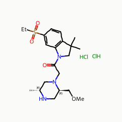 CCS(=O)(=O)c1ccc2c(c1)N(C(=O)CN1C[C@@H](C)NC[C@@H]1COC)CC2(C)C.Cl.Cl